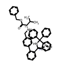 CC(C)[C@H](NCc1ccc(-c2ccccc2/C(=N/N=N)NC(c2ccccc2)(c2ccccc2)c2ccccc2)cc1)C(=O)OCc1ccccc1